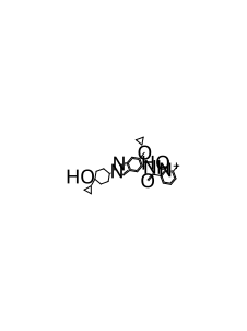 Cc1cccc(C(=O)Nc2cc3cn([C@H]4CC[C@@](O)(C5CC5)CC4)nc3cc2OC2CC2)[n+]1O